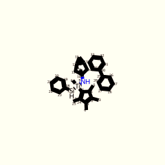 CC1=C(C)C(C)[C]([Ti]([CH3])([NH]C23CC4C(C2)C4C3)[SiH2]c2ccccc2)=C1C.c1ccc(-c2ccccc2)cc1